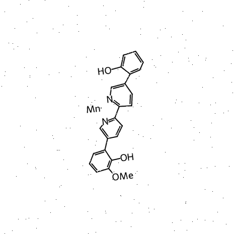 COc1cccc(-c2ccc(-c3ccc(-c4ccccc4O)cn3)nc2)c1O.[Mn]